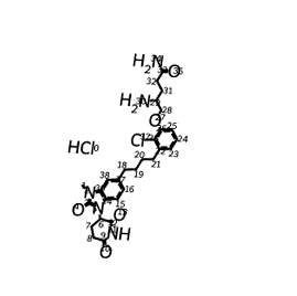 Cl.Cn1c(=O)n(C2CCC(=O)NC2=O)c2ccc(CCCCc3cccc(OC[C@@H](N)CCC(N)=O)c3Cl)cc21